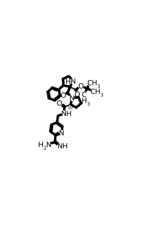 CC(C)(C)OC(=O)[C@]1(C(=O)N2CCC[C@H]2C(=O)NCc2ccc(C(=N)N)nc2)NCCC1c1ccccc1